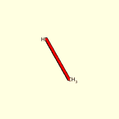 B=BB=BB=BB=BB=BB=BB=BB=BB=BB=BB=BB=BB=BB=BB=BB=BB=BB=BB=BB=BB=BB=BB=BB=BB=BB=BB=BB=BB=BB=BB=BB=BCC